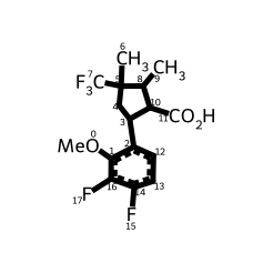 COc1c(C2CC(C)(C(F)(F)F)C(C)C2C(=O)O)ccc(F)c1F